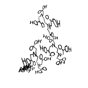 F.O=C(O)CN(CCN(CC(=O)O)CC(=O)O)CC(=O)O.O=C(O)CN(CCN(CC(=O)O)CC(=O)O)CC(=O)O.O=C(O)CN(CCN(CC(=O)O)CC(=O)O)CC(=O)O.[AlH3].[AlH3].[AlH3].[AlH3]